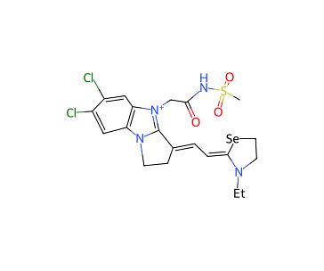 CCN1CC[Se]C1=CC=C1CCn2c1[n+](CC(=O)NS(C)(=O)=O)c1cc(Cl)c(Cl)cc12